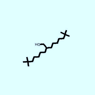 CC(C)(C)CCCCCC(CO)CCCCCC(C)(C)C